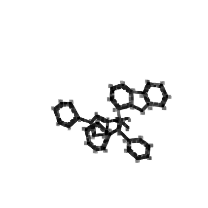 [CH3][Zr]([CH3])([C]1=CC(c2ccccc2)=CC1)(=[C](c1ccccc1)c1ccccc1)[c]1cccc2c1Cc1ccccc1-2